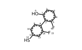 Oc1cccc(F)c1-c1ccc(S)cc1F